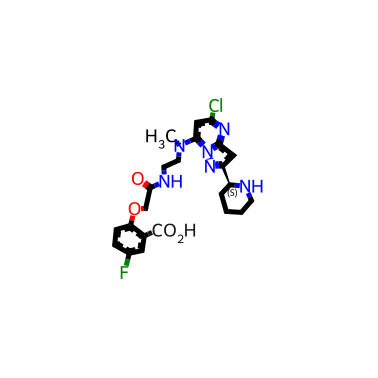 CN(CCNC(=O)COc1ccc(F)cc1C(=O)O)c1cc(Cl)nc2cc([C@@H]3CCCCN3)nn12